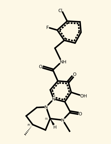 C[C@@H]1CCN2[C@@H](C1)N(C)C(=O)c1c(O)c(=O)c(C(=O)NCc3cccc(Cl)c3F)cn12